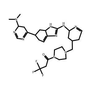 CN(C)C1CC(C2CC=C3N=C(NC4CC(CN5CCN(C(=O)CC(F)(F)F)CC5)CC=N4)NC3C2)=NC=N1